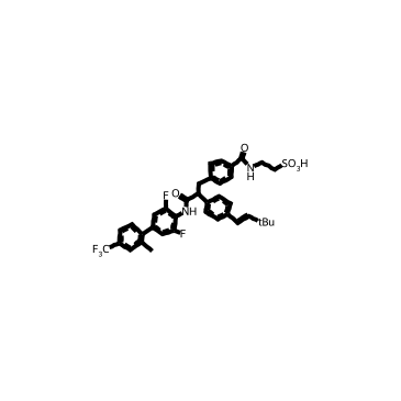 Cc1cc(C(F)(F)F)ccc1-c1cc(F)c(NC(=O)C(Cc2ccc(C(=O)NCCS(=O)(=O)O)cc2)c2ccc(/C=C/C(C)(C)C)cc2)c(F)c1